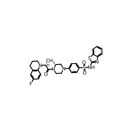 C[C@H](C(=O)N1CCN(c2ccc(S(=O)(=O)Nc3nc4ccccc4s3)cc2)CC1)N1CCCc2cc(F)ccc21